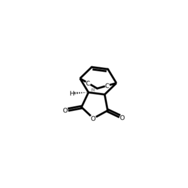 O=C1OC(=O)[C@H]2C3C=CC(CCC3)C12